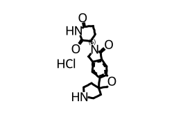 Cl.O=C1CC[C@H](N2Cc3cc4c(cc3C2=O)OCC42CCNCC2)C(=O)N1